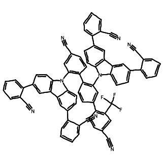 N#Cc1ccc(-c2ccc(-c3ccc(C#N)cc3C(F)(F)F)cc2-n2c3ccc(-c4ccccc4C#N)cc3c3cc(-c4ccccc4C#N)ccc32)c(-n2c3ccc(-c4ccccc4C#N)cc3c3cc(-c4ccccc4C#N)ccc32)c1